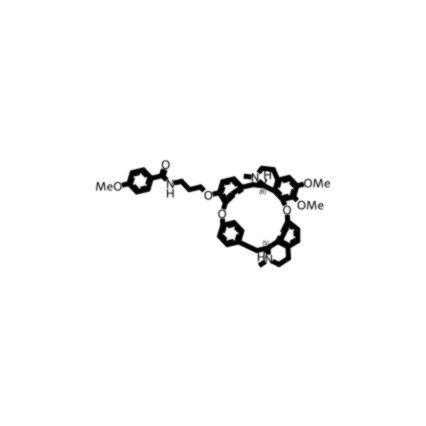 COc1ccc(C(=O)NCCCOc2ccc3cc2Oc2ccc(cc2)C[C@H]2c4cc(ccc4CCN2C)Oc2c(OC)c(OC)cc4c2[C@@H](C3)N(C)CC4)cc1